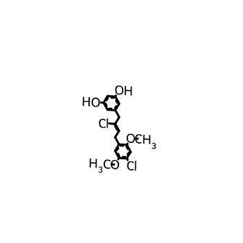 COc1cc(C/C=C(\Cl)Cc2cc(O)cc(O)c2)c(OC)cc1Cl